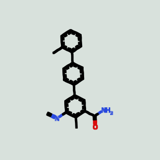 C=Nc1cc(-c2ccc(-c3ccccc3C)cc2)cc(C(N)=O)c1C